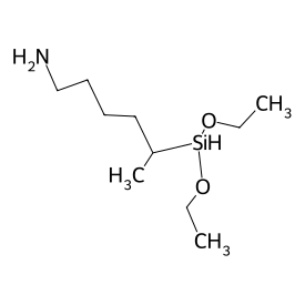 CCO[SiH](OCC)C(C)CCCCN